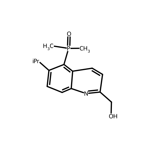 CC(C)c1ccc2nc(CO)ccc2c1P(C)(C)=O